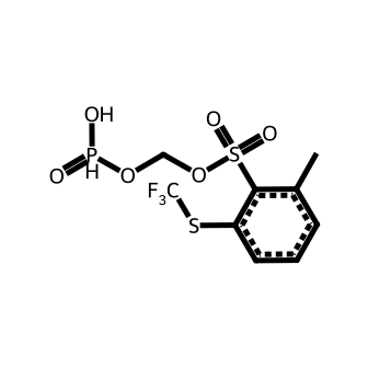 Cc1cccc(SC(F)(F)F)c1S(=O)(=O)OCO[PH](=O)O